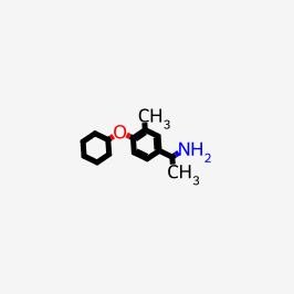 Cc1cc(C(C)N)ccc1OC1CCCCC1